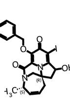 C[C@H]1C=CC[C@]23CC(O)c4c(I)c(=O)c(OCc5ccccc5)c(n42)C(=O)N1C3